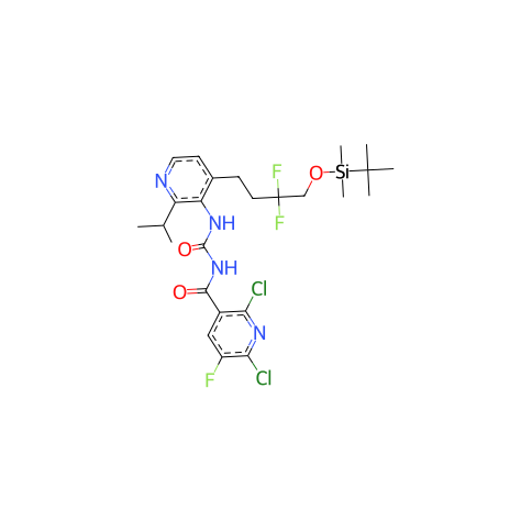 CC(C)c1nccc(CCC(F)(F)CO[Si](C)(C)C(C)(C)C)c1NC(=O)NC(=O)c1cc(F)c(Cl)nc1Cl